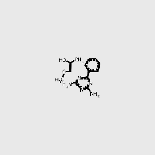 COCC(C)O.Nc1nc(N)nc(-c2ccccc2)n1